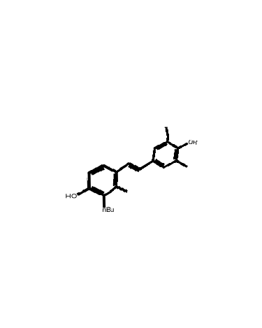 CCCCc1c(O)ccc(C=Cc2cc(C)c(O)c(C)c2)c1C